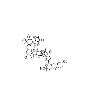 CCC1C(O)C(O)(C(O)C(=O)O)OC(CC2CC(OC)C(C)C3(O2)OC(C)(C2CCC(C4CCC(C5OC(C)(O)C(C)C(OC6CCC(OC)C(C)O6)C5C)O4)O2)C(OC2CCC(OC)C(C)O2)C3C)C1(C)OC